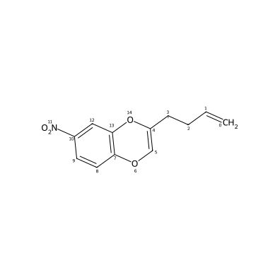 C=CC[CH]C1=COc2ccc([N+](=O)[O-])cc2O1